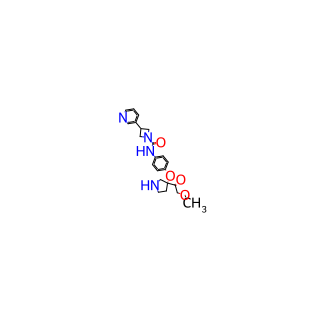 COCC(=O)[C@@]1(Oc2ccc(NC(=O)N3CC(c4cccnc4)C3)cc2)CCNC1